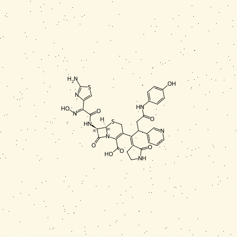 Nc1nc(C(=NO)C(=O)N[C@@H]2C(=O)N3C(C(=O)O)=C(C(=C4CCNC4=O)C(CC(=O)Nc4ccc(O)cc4)c4cccnc4)CS[C@H]23)cs1